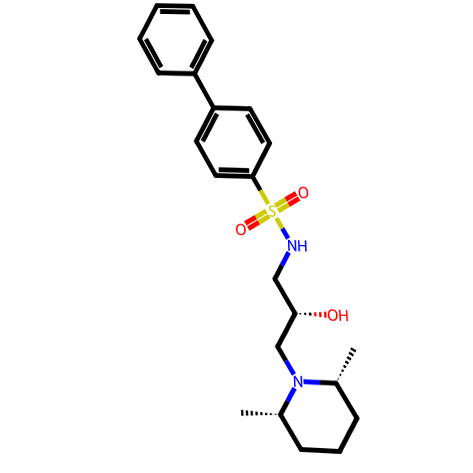 C[C@@H]1CCC[C@H](C)N1C[C@@H](O)CNS(=O)(=O)c1ccc(-c2ccccc2)cc1